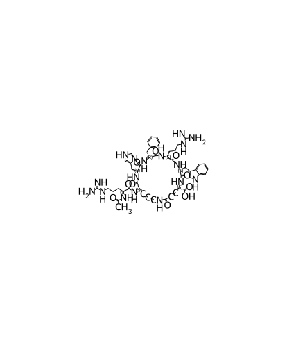 CC(=O)N[C@@H](CCCNC(=N)N)C(=O)N[C@H]1CCCNC(=O)CC[C@@H](C(=O)O)NC(=O)[C@H](Cc2c[nH]c3ccccc23)NC(=O)[C@H](CCCNC(=N)N)NC(=O)[C@@H](Cc2ccccc2)NC(=O)[C@H](Cc2c[nH]cn2)NC1=O